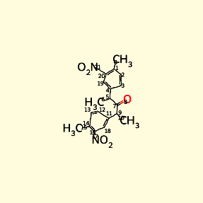 Cc1ccc(C(C)C(=O)C(C)c2ccc(C)c([N+](=O)[O-])c2)cc1[N+](=O)[O-]